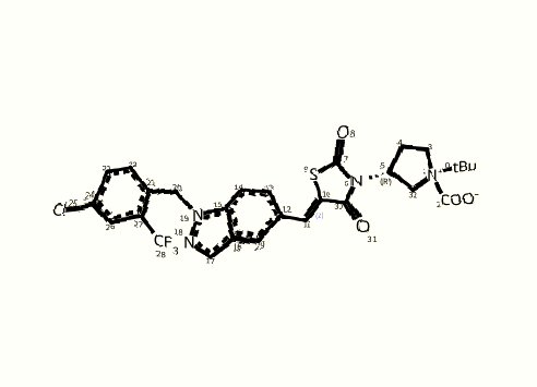 CC(C)(C)[N+]1(C(=O)[O-])CC[C@@H](N2C(=O)S/C(=C\c3ccc4c(cnn4Cc4ccc(Cl)cc4C(F)(F)F)c3)C2=O)C1